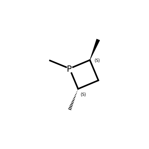 C[C@H]1C[C@H](C)P1C